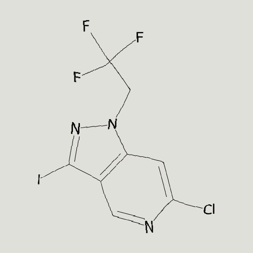 FC(F)(F)Cn1nc(I)c2cnc(Cl)cc21